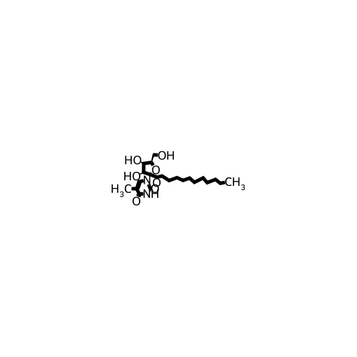 CCCCCCCCCCCC(=O)[C@@]1(n2cc(C)c(=O)[nH]c2=O)O[C@H](CO)[C@@H](O)[C@H]1O